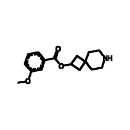 COc1cccc(C(=O)OC2CC3(CCNCC3)C2)c1